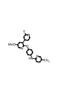 COc1cnc(Oc2ccc(Nc3ccc(C)cn3)cc2)c(-c2ccnc(F)c2)c1